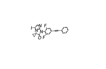 O=C1N(c2c(F)cc(C#Cc3ccccc3)cc2F)c2ncc(I)n2C12CC2